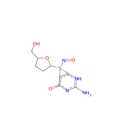 Nc1nc(=O)c2c([nH]1)S2(N=O)C1CCC(CO)O1